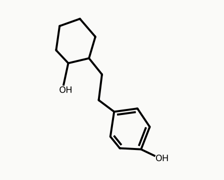 Oc1ccc(CCC2CCCCC2O)cc1